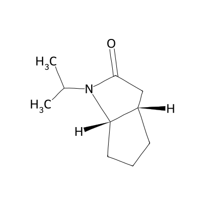 CC(C)N1C(=O)C[C@@H]2CCC[C@@H]21